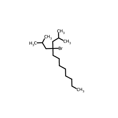 CCCCCCCCC(Br)(CC(C)C)CC(C)C